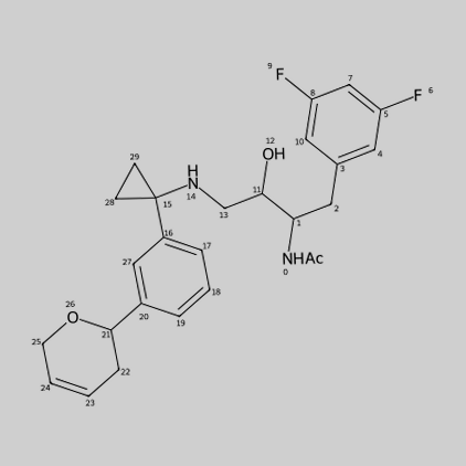 CC(=O)NC(Cc1cc(F)cc(F)c1)C(O)CNC1(c2cccc(C3CC=CCO3)c2)CC1